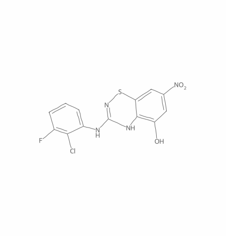 O=[N+]([O-])c1cc(O)c2c(c1)SN=C(Nc1cccc(F)c1Cl)N2